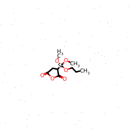 CCCO[Si](OC)(OC)C1CC(=O)OC1=O